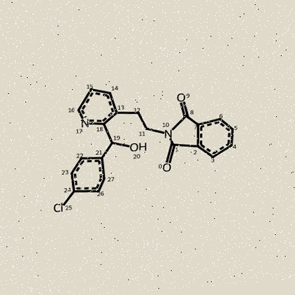 O=C1c2ccccc2C(=O)N1CCc1cccnc1C(O)c1ccc(Cl)cc1